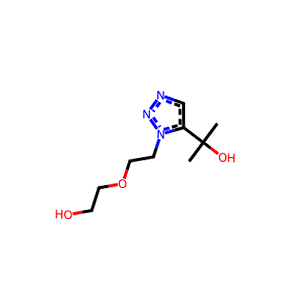 CC(C)(O)c1cnnn1CCOCCO